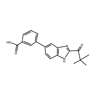 CC(C)(C)C(=O)c1nc2cc(-c3cccc(C(=O)O)c3)ccc2[nH]1